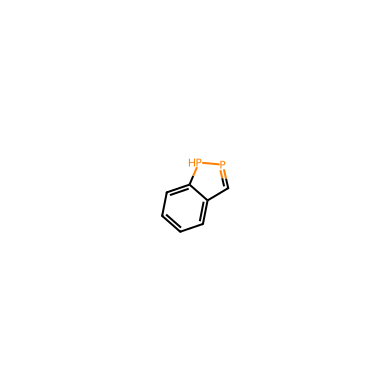 c1ccc2[pH]pcc2c1